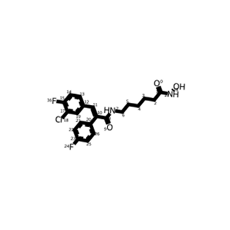 O=C(CCCCCNC(=O)/C(=C/c1ccc(F)c(Cl)c1)c1ccc(F)cc1)NO